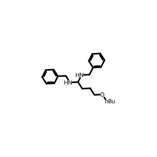 CCCCOCCCC(NCc1ccccc1)NCc1ccccc1